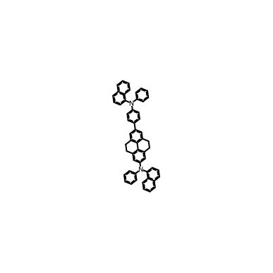 c1ccc(N(c2ccc(-c3cc4c5c(c3)CCc3cc(N(c6ccccc6)c6cccc7ccccc67)cc(c3-5)CC4)cc2)c2cccc3ccccc23)cc1